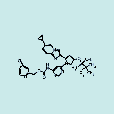 CC(C)(C)[Si](C)(C)O[C@H]1C[C@H](c2cn3cc(C4CC4)ccc3n2)N(c2cc(NC(=O)OCc3cc(Cl)ccn3)ncn2)C1